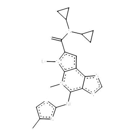 CCn1c(C(=O)N(C2CC2)C2CC2)cc2c3ncnc-3c(Nc3nc(C)cs3)n(C)c21